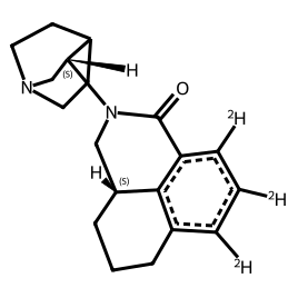 [2H]c1c([2H])c2c3c(c1[2H])C(=O)N([C@@H]1CN4CCC1CC4)C[C@H]3CCC2